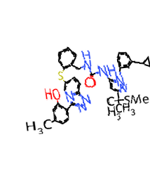 CSC(C)(C)c1cc(NC(=O)NCc2ccccc2Sc2ccc3nnc(-c4ccc(C)cc4O)n3c2)n(-c2cccc(C3CC3)c2)n1